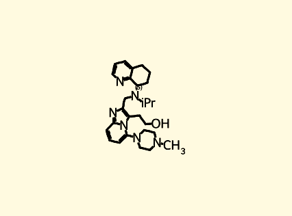 CC(C)N(Cc1nc2cccc(N3CCN(C)CC3)n2c1CCO)[C@H]1CCCc2cccnc21